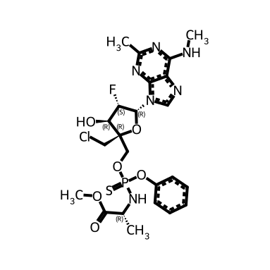 CNc1nc(C)nc2c1ncn2[C@@H]1O[C@](CCl)(COP(=S)(N[C@H](C)C(=O)OC)Oc2ccccc2)[C@@H](O)[C@@H]1F